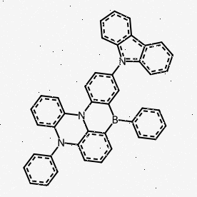 c1ccc(B2c3cc(-n4c5ccccc5c5ccccc54)ccc3N3c4ccccc4N(c4ccccc4)c4cccc2c43)cc1